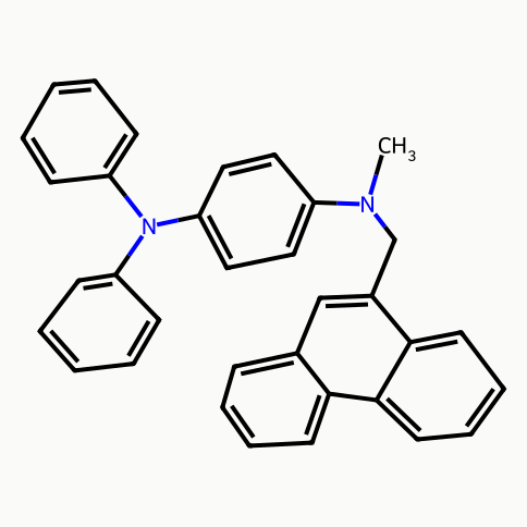 CN(Cc1cc2ccccc2c2ccccc12)c1ccc(N(c2ccccc2)c2ccccc2)cc1